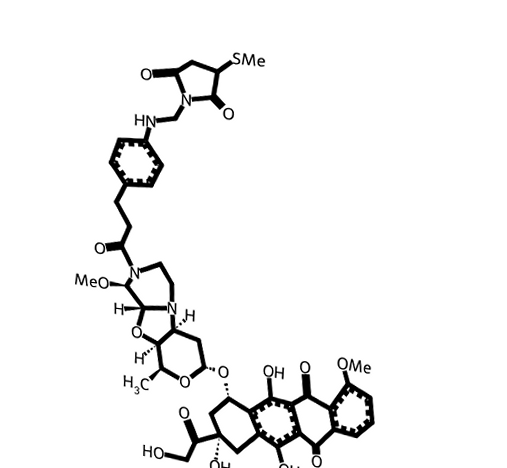 COc1cccc2c1C(=O)c1c(O)c3c(c(O)c1C2=O)C[C@@](O)(C(=O)CO)C[C@@H]3O[C@H]1C[C@H]2[C@H](O[C@@H]3[C@@H](OC)N(C(=O)CCc4ccc(NCN5C(=O)CC(SC)C5=O)cc4)CCN32)[C@H](C)O1